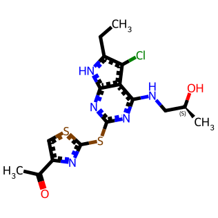 CCc1[nH]c2nc(Sc3nc(C(C)=O)cs3)nc(NC[C@H](C)O)c2c1Cl